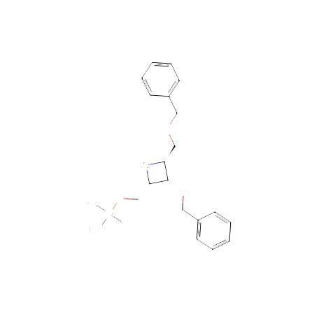 CC(C)(C)[Si](C)(C)OC[C@@H]1N[C@@H](COCc2ccccc2)[C@@H]1OCc1ccccc1